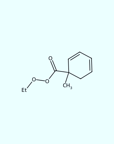 CCOOC(=O)C1(C)C=CC=CC1